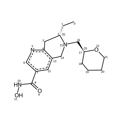 CC[C@H]1Cc2ncc(C(=O)NO)cc2CN1C[C@@H]1CCCCO1